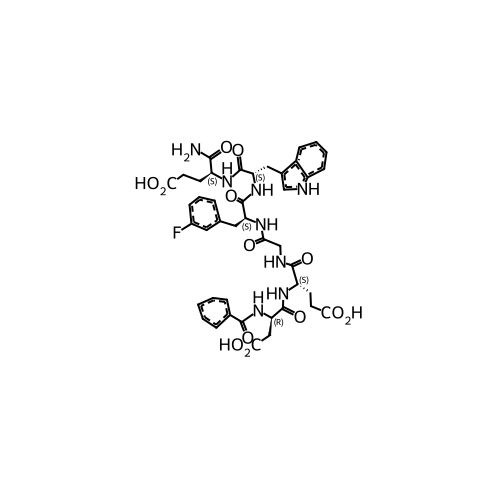 NC(=O)[C@H](CCC(=O)O)NC(=O)[C@H](Cc1c[nH]c2ccccc12)NC(=O)[C@H](Cc1cccc(F)c1)NC(=O)CNC(=O)[C@H](CCC(=O)O)NC(=O)[C@@H](CC(=O)O)NC(=O)c1ccccc1